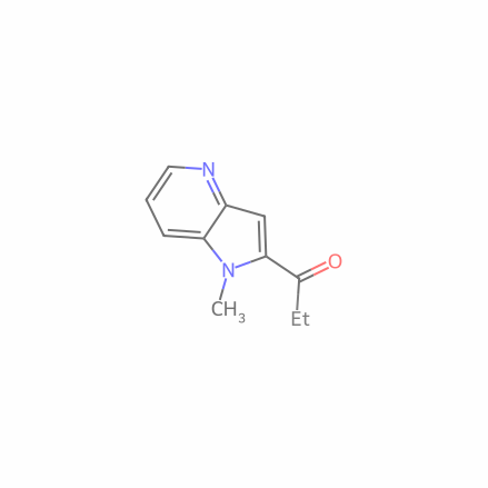 CCC(=O)c1cc2ncccc2n1C